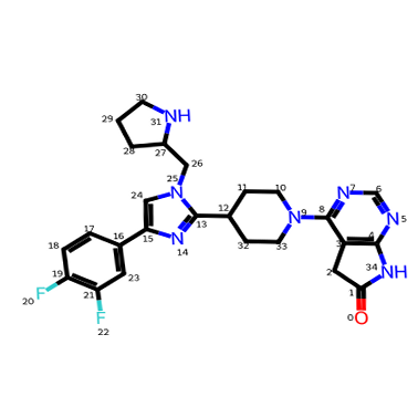 O=C1Cc2c(ncnc2N2CCC(c3nc(-c4ccc(F)c(F)c4)cn3CC3CCCN3)CC2)N1